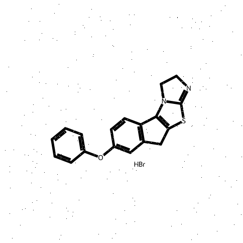 Br.c1ccc(Oc2ccc3c(c2)CC2=C3N3CCN=C3S2)cc1